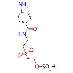 Nc1ccc(C(=O)NCCS(=O)(=O)CCOS(=O)(=O)O)cc1